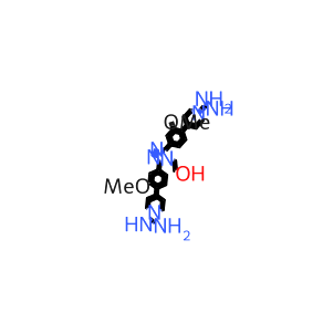 COc1cc(-c2nnc(-c3ccc(C4=CCN(C(=N)N)CC4)c(OC)c3)n2CCO)ccc1C1=CCN(C(=N)N)CC1